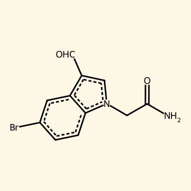 NC(=O)Cn1cc(C=O)c2cc(Br)ccc21